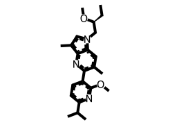 CC[C@@H](Cn1cc(C)c2nc(-c3ccc(C(C)C)nc3OC)c(C)cc21)OC